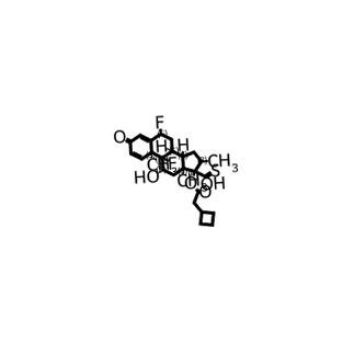 C[C@@H]1C[C@H]2[C@@H]3C[C@H](F)C4=CC(=O)C=C[C@]4(C)[C@@]3(F)[C@@H](O)C[C@]2(C)[C@@]1(OC(=O)CC1CCC1)C(O)=S